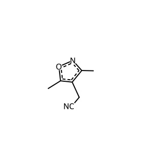 Cc1noc(C)c1CC#N